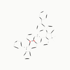 CC1(C)c2ccccc2-c2c1ccc(-c1ccc3c(c1)c1ccccc1n3-c1ccccc1)c2N(c1ccccc1)c1ccc(-c2ccccc2)cc1